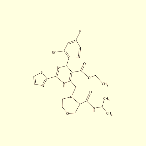 CCOC(=O)C1=C(CN2CCOCC2C(=O)NC(C)C)NC(c2nccs2)=NC1c1ccc(F)cc1Br